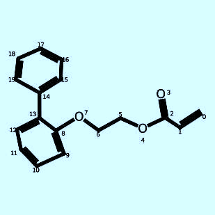 C=CC(=O)OCCOc1ccccc1-c1ccccc1